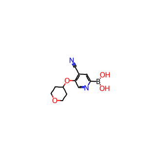 N#Cc1cc(B(O)O)ncc1OC1CCOCC1